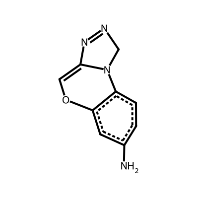 Nc1ccc2c(c1)OC=C1N=NCN12